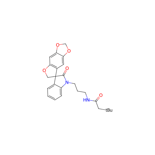 CC(C)(C)CC(=O)NCCCN1C(=O)C2(COc3cc4c(cc32)OCO4)c2ccccc21